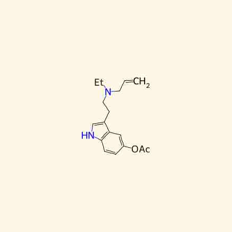 C=CCN(CC)CCc1c[nH]c2ccc(OC(C)=O)cc12